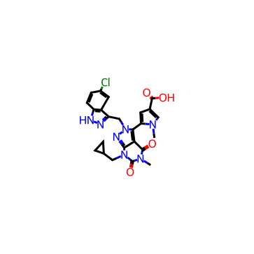 Cn1cc(C(=O)O)cc1-c1c2c(=O)n(C)c(=O)n(CC3CC3)c2nn1Cc1n[nH]c2ccc(Cl)cc12